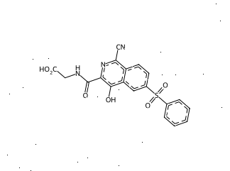 N#Cc1nc(C(=O)NCC(=O)O)c(O)c2cc(S(=O)(=O)c3ccccc3)ccc12